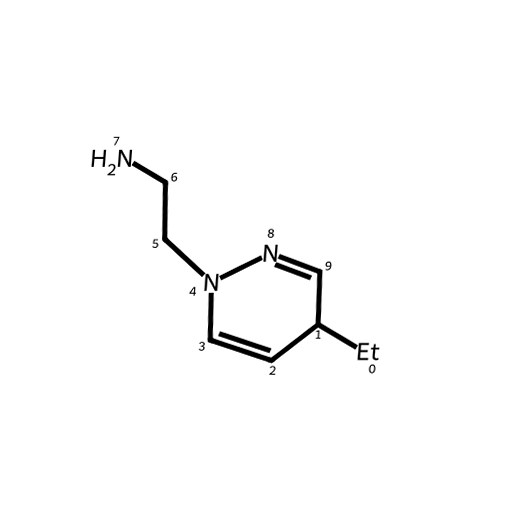 CCC1C=CN(CCN)N=C1